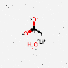 CC(=O)[O-].O.[Li+]